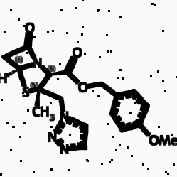 COc1ccc(COC(=O)[C@@H]2N3C(=O)C[C@@H]3S[C@@]2(C)Cn2ccnn2)cc1